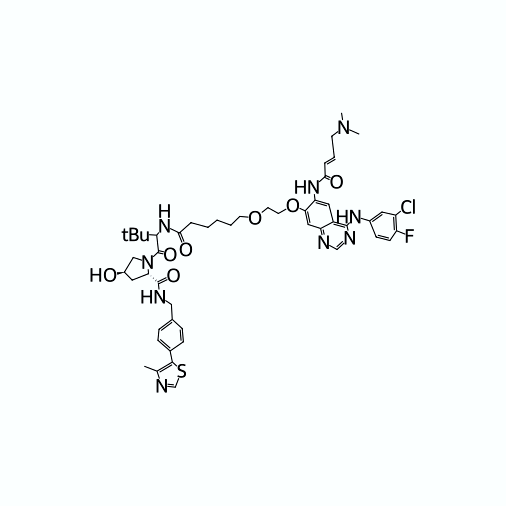 Cc1ncsc1-c1ccc(CNC(=O)[C@@H]2C[C@@H](O)CN2C(=O)C(NC(=O)CCCCCOCCOc2cc3ncnc(Nc4ccc(F)c(Cl)c4)c3cc2NC(=O)/C=C/CN(C)C)C(C)(C)C)cc1